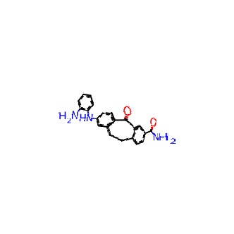 NC(=O)c1ccc2c(c1)C(=O)c1ccc(Nc3ccccc3N)cc1CC2